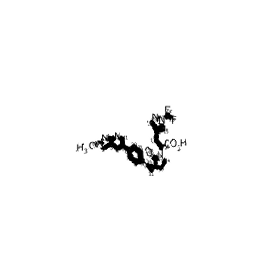 Cn1cc2cc(-c3ccc([C@H]4C[C@@]45CCN([C@H](Cc4cnn(C(F)F)c4)C(=O)O)C5=O)cc3)cnc2n1